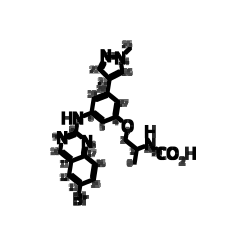 CC(COc1cc(Nc2ncc3cc(Br)ccc3n2)cc(-c2cnn(C)c2)c1)NC(=O)O